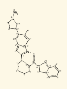 Cc1cn2nc([C@@H]3CCCCN3C(=O)C3CN4N=CC=CC4=N3)cc2nc1N1CC[C@H](N)C1